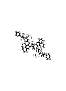 CC(CC(=O)Nc1c(C2=C([O-])/C(=c3/cc4c5c(c3NC(=O)CC(C)OC(=O)NC3CCCCC3)CCC[N+]=5CCC4)C2=O)cc2c3c1CCCN3CCC2)OC(=O)NC1CCCCC1